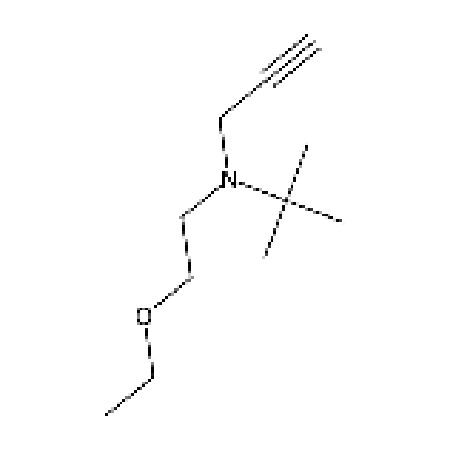 C#CCN(CCOCC)C(C)(C)C